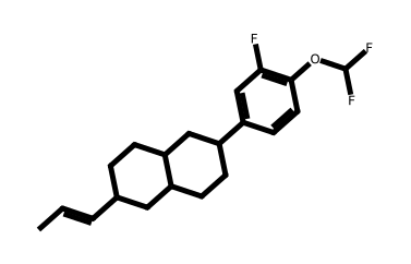 CC=CC1CCC2CC(c3ccc(OC(F)F)c(F)c3)CCC2C1